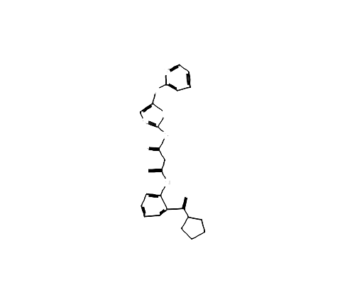 O=C(CC(=O)Nc1ccccc1C(=O)C1CCCC1)Nc1ncc(Sc2ccccn2)s1